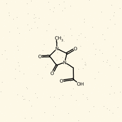 CN1C(=O)C(=O)N(CC(=O)O)C1=O